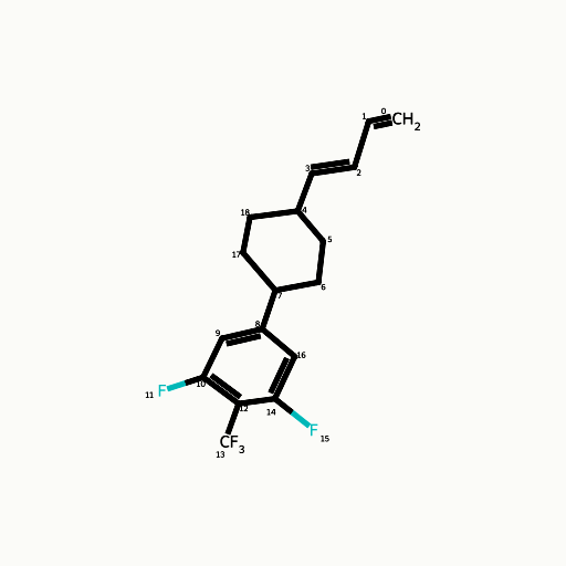 C=C/C=C/C1CCC(c2cc(F)c(C(F)(F)F)c(F)c2)CC1